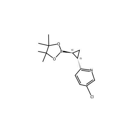 CC1(C)OB([C@H]2C[C@@H]2c2ccc(Cl)cn2)OC1(C)C